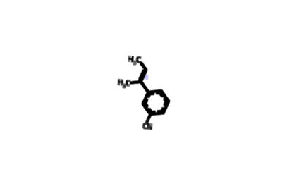 C/C=C(\C)c1cccc(C#N)c1